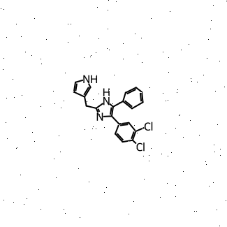 Clc1ccc(-c2nc(Cc3cc[nH]c3)[nH]c2-c2ccccc2)cc1Cl